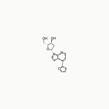 OC[C@H]1O[C@@H](n2ccc3c(-c4ccco4)ccnc32)C[C@@H]1O